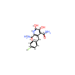 NC(=O)c1nc(O)c(O)c(C(N)=O)c1Cc1ccc(F)cc1